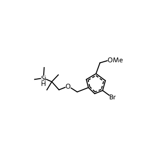 COCc1cc(Br)cc(COCC(C)(C)[SiH](C)C)c1